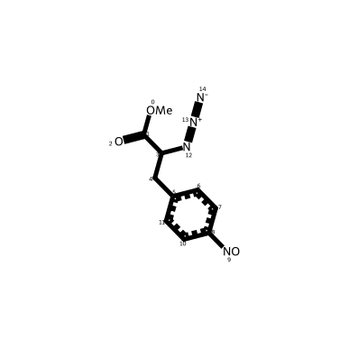 COC(=O)C(Cc1ccc(N=O)cc1)N=[N+]=[N-]